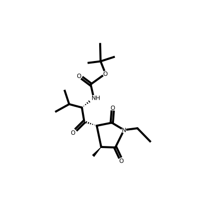 CCN1C(=O)[C@@H](C(=O)[C@@H](NC(=O)OC(C)(C)C)C(C)C)[C@H](C)C1=O